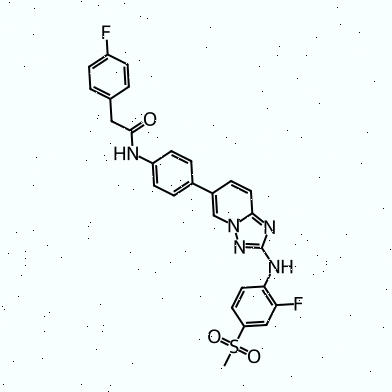 CS(=O)(=O)c1ccc(Nc2nc3ccc(-c4ccc(NC(=O)Cc5ccc(F)cc5)cc4)cn3n2)c(F)c1